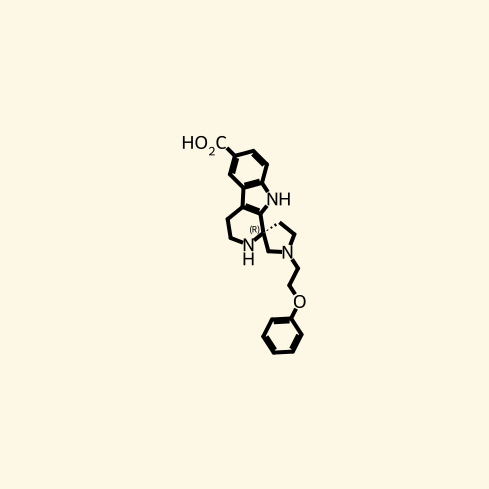 O=C(O)c1ccc2[nH]c3c(c2c1)CCN[C@@]31CCN(CCOc2ccccc2)C1